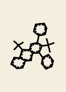 CC(C)(C)c1c(-c2ccccc2)cc2c(C(C)(C)C)c3ccccc3cc2c1-c1ccccc1